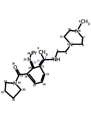 C/C(NCCN1CCN(C)CC1)=C1/C=CC=C(C(=O)N2CCCC2)/C1=N/C(C)C